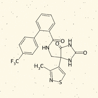 Cc1nscc1C1(CNC(=O)c2ccccc2-c2ccc(C(F)(F)F)cc2)NC(=O)NC1=O